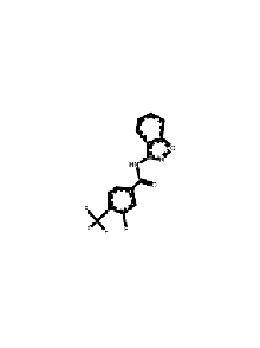 O=C(Nc1noc2ccccc12)c1ccc(C(F)(F)F)c(F)c1